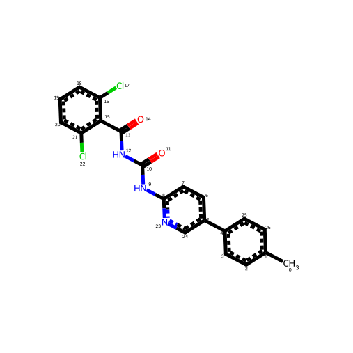 Cc1ccc(-c2ccc(NC(=O)NC(=O)c3c(Cl)cccc3Cl)nc2)cc1